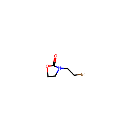 O=C1OCCN1CCBr